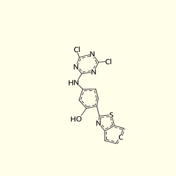 Oc1cc(Nc2nc(Cl)nc(Cl)n2)ccc1-c1nc2ccccc2s1